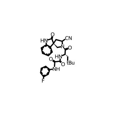 CC(C)(C)C[C@H](NC(=O)C(=O)Nc1cccc(F)c1)C(=O)N1C[C@]2(CC1C#N)C(=O)Nc1ccccc12